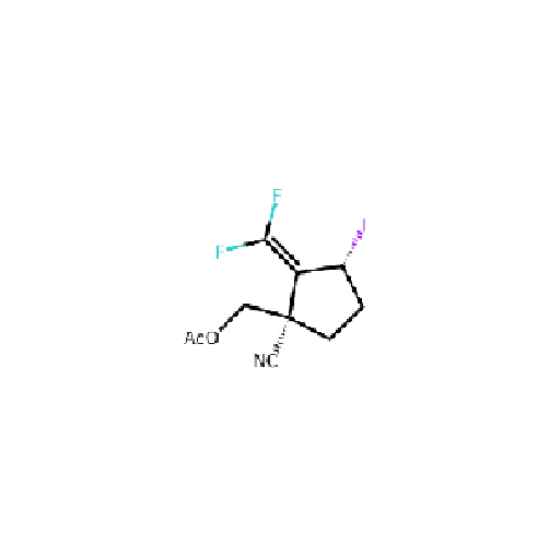 CC(=O)OC[C@]1(C#N)CC[C@@H](I)C1=C(F)F